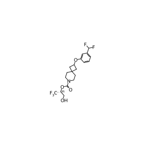 O=C(O[C@H](CO)C(F)(F)F)N1CCC2(CC1)CC(Oc1cccc(C(F)F)c1)C2